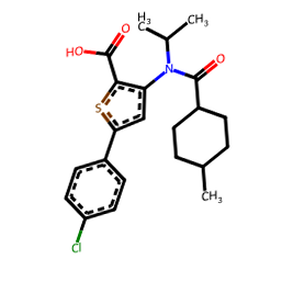 CC1CCC(C(=O)N(c2cc(-c3ccc(Cl)cc3)sc2C(=O)O)C(C)C)CC1